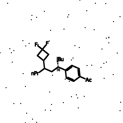 CCCC(C[C@@H](c1ccc(C(C)=O)cc1)C(C)CC)C1CC(F)(F)C1